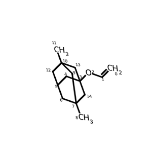 C=COC12CC3CC(C)(CC(C)(C3)C1)C2